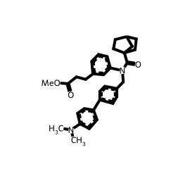 COC(=O)CCc1cccc(N(Cc2ccc(-c3ccc(N(C)C)cc3)cc2)C(=O)C23CCC(CC2)C3)c1